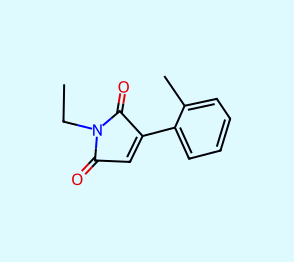 CCN1C(=O)C=C(c2ccccc2C)C1=O